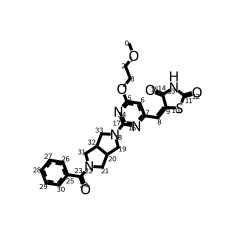 COCCOc1cc(/C=C2/SC(=O)NC2=O)nc(N2CC3CN(C(=O)c4ccccc4)CC3C2)n1